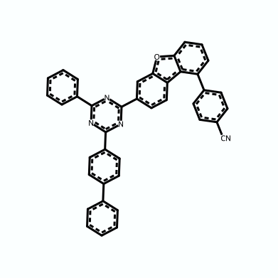 N#Cc1ccc(-c2cccc3oc4cc(-c5nc(-c6ccccc6)nc(-c6ccc(-c7ccccc7)cc6)n5)ccc4c23)cc1